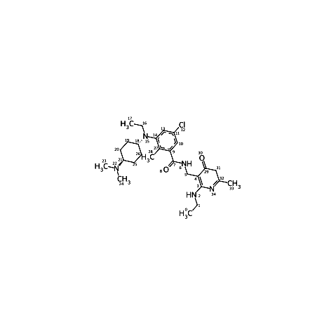 CCNC1=C(CNC(=O)c2cc(Cl)cc(N(CC)[C@H]3CC[C@H](N(C)C)CC3)c2C)C(=O)CC(C)=N1